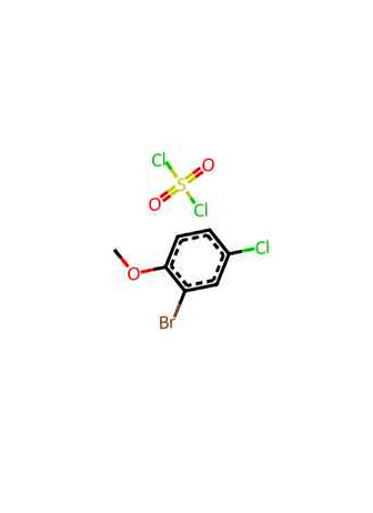 COc1ccc(Cl)cc1Br.O=S(=O)(Cl)Cl